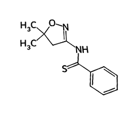 CC1(C)CC(NC(=S)c2ccccc2)=NO1